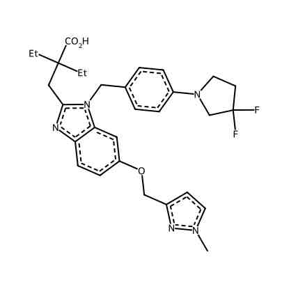 CCC(CC)(Cc1nc2ccc(OCc3ccn(C)n3)cc2n1Cc1ccc(N2CCC(F)(F)C2)cc1)C(=O)O